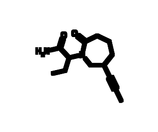 CC#CC1CCCC(=O)N(C(CC)C(N)=O)C1